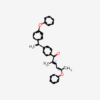 C=C(c1ccc(Oc2ccccc2)cc1)c1ccc(C(=O)/C(C)=C/C=C(\C)Oc2ccccc2)cc1